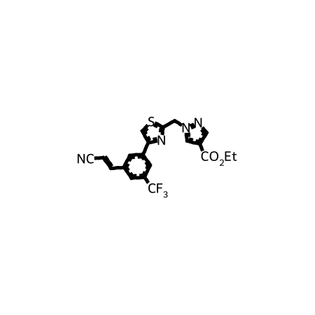 CCOC(=O)c1cnn(Cc2nc(-c3cc(C=CC#N)cc(C(F)(F)F)c3)cs2)c1